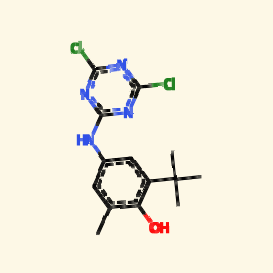 Cc1cc(Nc2nc(Cl)nc(Cl)n2)cc(C(C)(C)C)c1O